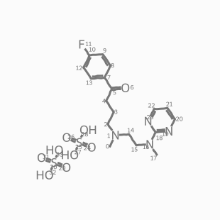 CN(CCCC(=O)c1ccc(F)cc1)CCN(C)c1ncccn1.O=S(=O)(O)O.O=S(=O)(O)O